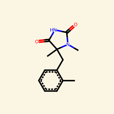 Cc1ccccc1CC1(C)C(=O)NC(=O)N1C